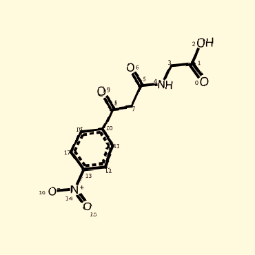 O=C(O)CNC(=O)CC(=O)c1ccc([N+](=O)[O-])cc1